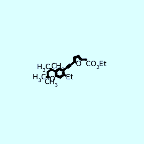 CCOC(=O)Cc1ccc(C#Cc2cc3c(cc2CC)OC(C)(C)CC3(C)C)o1